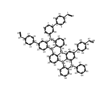 C=Cc1ccc(-c2cccc(N3c4cc(-c5ccc(C=C)cc5)ccc4B4c5cccc6c5N(c5cccc3c54)c3cc(-c4ccc(C=C)cc4)cc4c3B6c3ccccc3N4c3ccccc3)c2)cc1